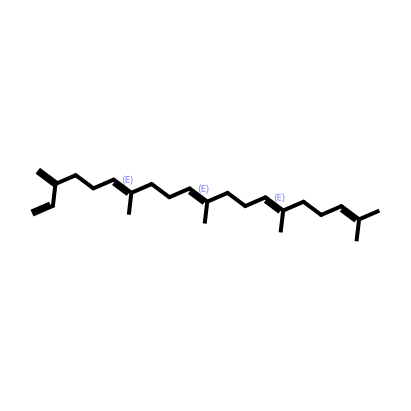 C=CC(=C)CC/C=C(\C)CC/C=C(\C)CC/C=C(\C)CCC=C(C)C